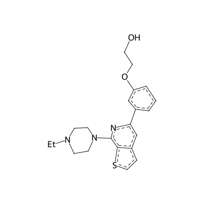 CCN1CCN(c2nc(-c3cccc(OCCO)c3)cc3ccsc23)CC1